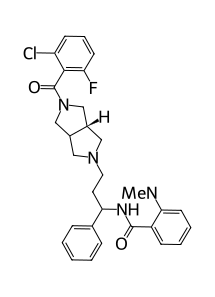 CNc1ccccc1C(=O)NC(CCN1CC2CN(C(=O)c3c(F)cccc3Cl)C[C@@H]2C1)c1ccccc1